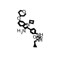 Nc1c(-c2ccc(NS(=O)(=O)NCC3CC3)cc2)n(C2CCC2)c2cc(OC3CCOCC3)ccc12